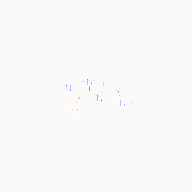 NC(=O)c1nc(C(N)=S)c[nH]1